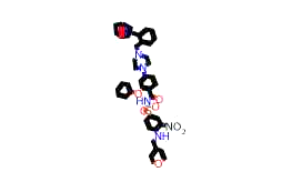 O=C(NS(=O)(=O)c1ccc(NCC2=CCOC=C2)c([N+](=O)[O-])c1)c1ccc(N2CCN(Cc3ccccc3N3CC4CCC(CC4)C3)CC2)cc1Oc1ccccc1